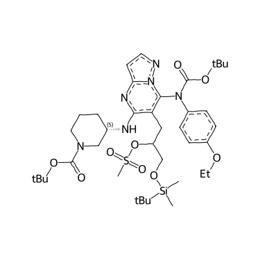 CCOc1ccc(N(C(=O)OC(C)(C)C)c2c(CC(CO[Si](C)(C)C(C)(C)C)OS(C)(=O)=O)c(N[C@H]3CCCN(C(=O)OC(C)(C)C)C3)nc3ccnn23)cc1